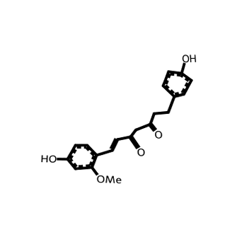 COc1cc(O)ccc1C=CC(=O)CC(=O)CCc1ccc(O)cc1